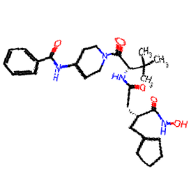 CC(C)(C)[C@H](NC(=O)C[C@@H](CC1CCCC1)C(=O)NO)C(=O)N1CCC(NC(=O)c2ccccc2)CC1